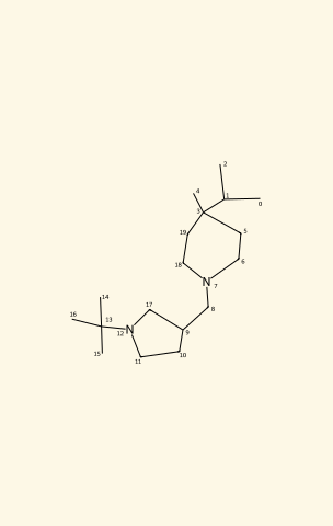 CC(C)C1(C)CCN(CC2CCN(C(C)(C)C)C2)CC1